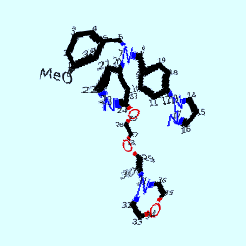 COc1cccc(CN(Cc2ccc(-n3cccn3)cc2)c2ccnc(OCCOCCN3CCOCC3)c2)c1